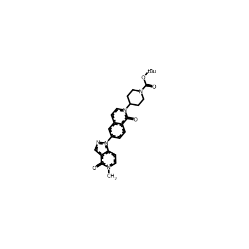 Cn1ccc2c(cnn2-c2ccc3c(=O)n(C4CCN(C(=O)OC(C)(C)C)CC4)ccc3c2)c1=O